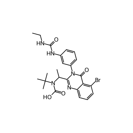 CCNC(=O)Nc1cccc(-n2c(C(C)N(C(=O)O)C(C)(C)C)nc3cccc(Br)c3c2=O)c1